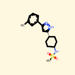 CC(C)(C)S(=O)(=O)N[C@H]1CC[C@H](c2cc(-c3cccc(C#N)c3)n[nH]2)CC1